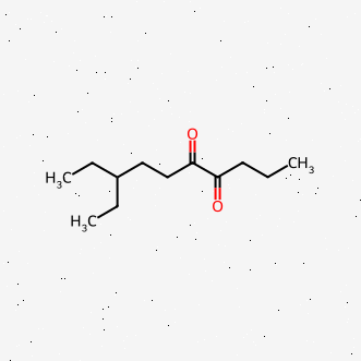 CCCC(=O)C(=O)CCC(CC)CC